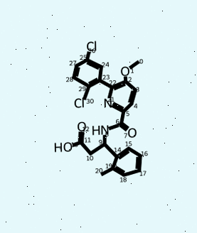 COc1ccc(C(=O)NC(CC(=O)O)c2ccccc2C)nc1-c1cc(Cl)ccc1Cl